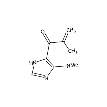 C=C(C)C(=O)c1[nH]cnc1NC